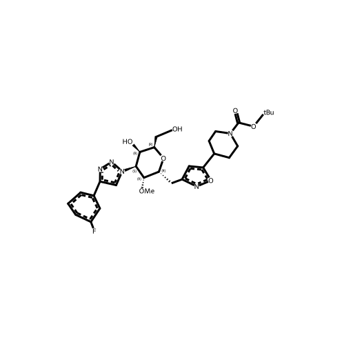 CO[C@@H]1[C@@H](n2cc(-c3cccc(F)c3)nn2)[C@@H](O)[C@@H](CO)O[C@@H]1Cc1cc(C2CCN(C(=O)OC(C)(C)C)CC2)on1